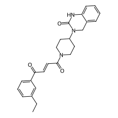 CCc1cccc(C(=O)C=CC(=O)N2CCC(N3Cc4ccccc4NC3=O)CC2)c1